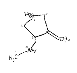 C=C1CNCC1NC